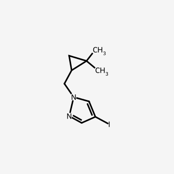 CC1(C)CC1Cn1cc(I)cn1